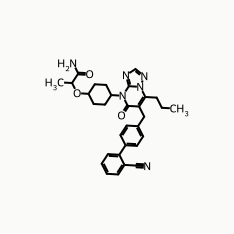 CCCc1c(Cc2ccc(-c3ccccc3C#N)cc2)c(=O)n(C2CCC(OC(C)C(N)=O)CC2)c2ncnn12